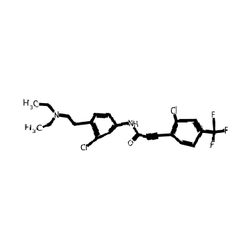 CCN(CC)CCc1ccc(NC(=O)C#Cc2ccc(C(F)(F)F)cc2Cl)cc1Cl